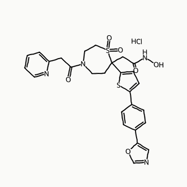 Cl.O=C(CC1(c2ccc(-c3ccc(-c4cnco4)cc3)s2)CCN(C(=O)Cc2ccccn2)CCS1(=O)=O)NO